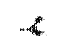 CO[C@H](C)CN(CCCCc1ccc2c(n1)NCCC2)CC[C@H](Nc1ccnc(C(F)(F)F)n1)C(=O)O